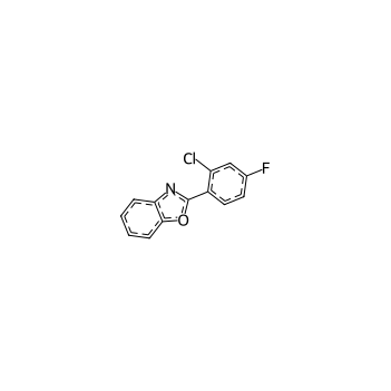 Fc1ccc(-c2nc3ccccc3o2)c(Cl)c1